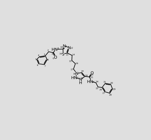 O=C(Cc1ccccc1)Nc1nnc(CCCCN2C=C(C(=O)NCCc3ccccc3)NN2)s1